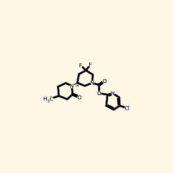 CC1CCN([C@H]2CN(C(=O)Oc3ccc(Cl)cn3)CC(F)(F)C2)C(=O)C1